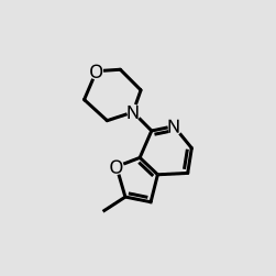 Cc1cc2ccnc(N3CCOCC3)c2o1